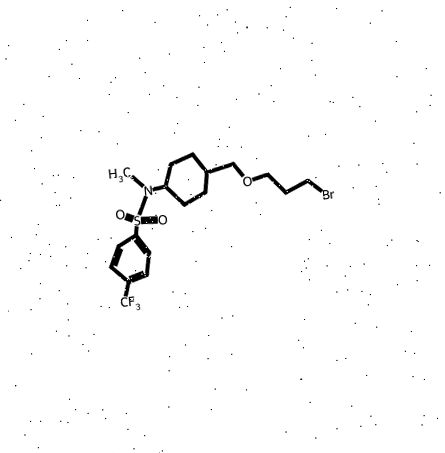 CN(C1CCC(COCCCBr)CC1)S(=O)(=O)c1ccc(C(F)(F)F)cc1